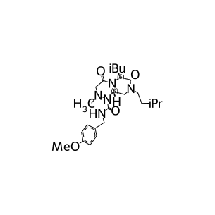 CCC(C)[C@H]1C(=O)N(CCC(C)C)C[C@H]2N1C(=O)CN(C)N2C(=O)NCc1ccc(OC)cc1